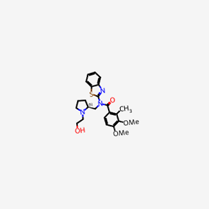 COc1ccc(C(=O)N(C[C@@H]2CCCN2CCO)c2nc3ccccc3s2)c(C)c1OC